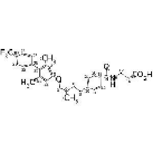 Cc1cc(OCC(C)CCc2ccc(C(=O)NCCC(=O)O)cc2)cc(C)c1-c1ccc(C(F)(F)F)cc1